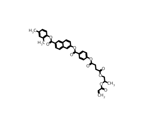 C=CC(=O)OC(C)COC(=O)CCC(=O)Oc1ccc(C(=O)Oc2ccc3cc(C(=O)Oc4ccc(C)cc4C)ccc3c2)cc1